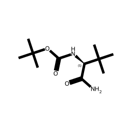 CC(C)(C)OC(=O)N[C@H](C(N)=O)C(C)(C)C